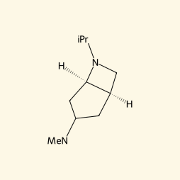 CNC1C[C@@H]2CN(C(C)C)[C@@H]2C1